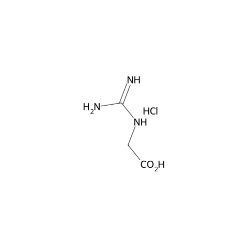 Cl.N=C(N)NCC(=O)O